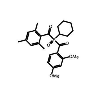 COc1ccc(C(=O)P(=O)(C(=O)c2c(C)cc(C)cc2C)C2CCCCC2)c(OC)c1